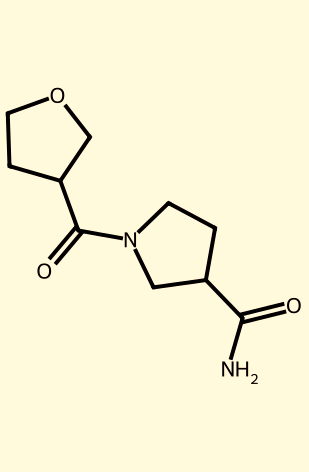 NC(=O)C1CCN(C(=O)C2CCOC2)C1